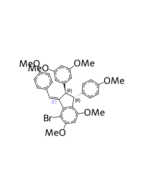 COc1ccc(/C=C2/c3c(Br)c(OC)cc(OC)c3[C@@H](c3ccc(OC)cc3)[C@@H]2c2cc(OC)cc(OC)c2)cc1